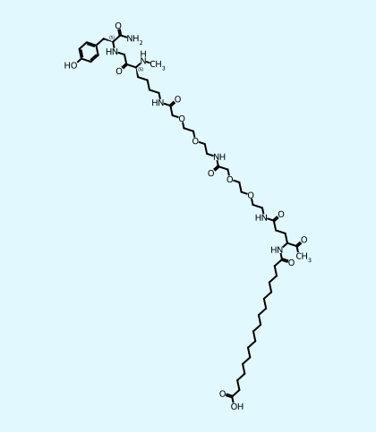 CN[C@@H](CCCCNC(=O)COCCOCCNC(=O)COCCOCCNC(=O)CCC(NC(=O)CCCCCCCCCCCCCCCCC(=O)O)C(C)=O)C(=O)CN[C@@H](Cc1ccc(O)cc1)C(N)=O